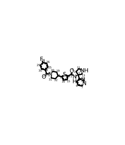 O=C(N[C@@]1(c2cccnn2)CCNC1)c1ccc(C2CCN(C(=O)c3ccc(F)cc3)CC2)s1